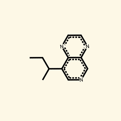 CCC(C)c1cncc2nccnc12